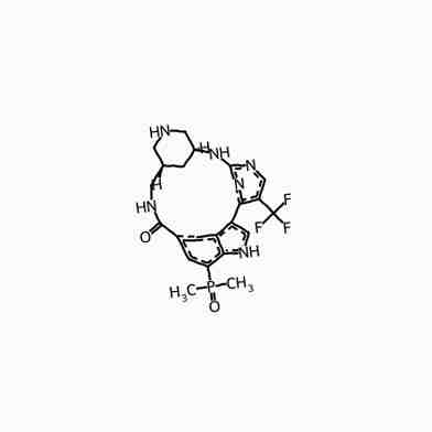 CP(C)(=O)c1cc2cc3c(c[nH]c13)-c1nc(ncc1C(F)(F)F)N[C@@H]1CNC[C@@H](CNC2=O)C1